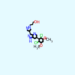 COc1cc(OC)c(Cl)c(-c2cnc3c(-c4cnn(CCCO)c4)n[nH]c3c2)c1Cl